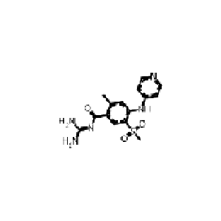 Cc1cc(Nc2ccncc2)c(S(C)(=O)=O)cc1C(=O)N=C(N)N